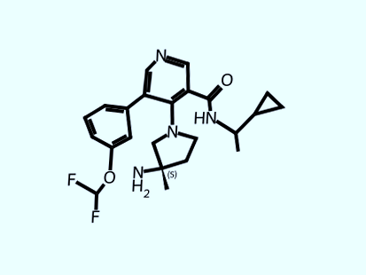 CC(NC(=O)c1cncc(-c2cccc(OC(F)F)c2)c1N1CC[C@](C)(N)C1)C1CC1